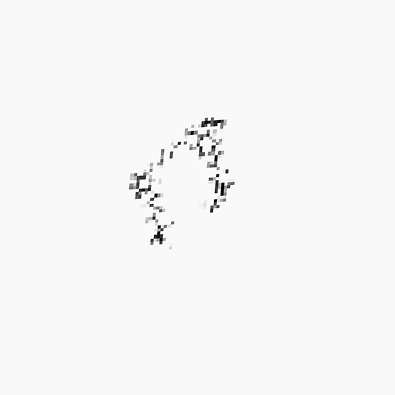 CCCCCCCC(CCCCCCCc1cccc(CCCCN2CC2C)c1)c1ccc(CCCCN2CC2C)cc1